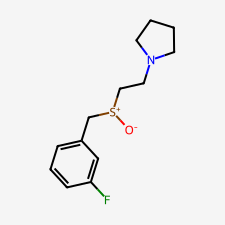 [O-][S+](CCN1CCCC1)Cc1cccc(F)c1